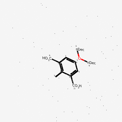 CCCCCCCCCCOCCCCCCCCCC.Cc1c(C(=O)O)cccc1C(=O)O